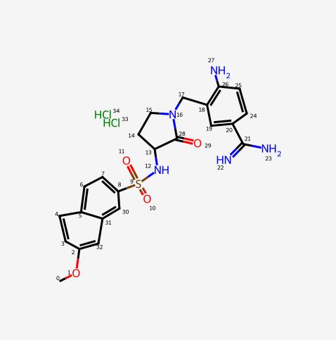 COc1ccc2ccc(S(=O)(=O)NC3CCN(Cc4cc(C(=N)N)ccc4N)C3=O)cc2c1.Cl.Cl